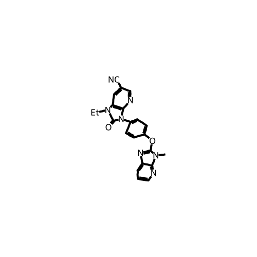 CCn1c(=O)n(-c2ccc(Oc3nc4cccnc4n3C)cc2)c2ncc(C#N)cc21